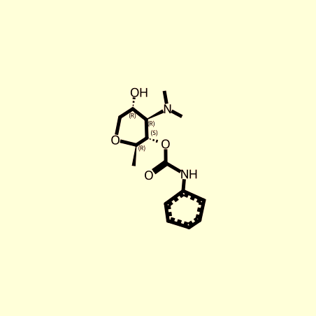 C[C@H]1OC[C@H](O)[C@@H](N(C)C)[C@@H]1OC(=O)Nc1ccccc1